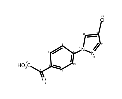 O=C(O)C(=O)c1ccc(-n2cc(Cl)cn2)cc1